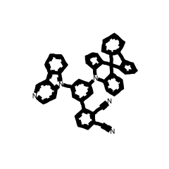 N#Cc1cccc(-c2cc(N3c4ccccc4C4(c5ccccc5-c5ccccc54)c4ccccc43)cc(-n3c4ccccc4c4cnccc43)c2)c1C#N